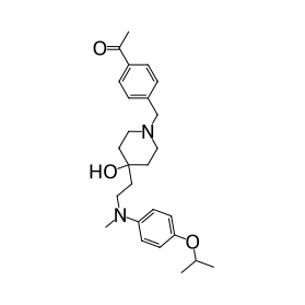 CC(=O)c1ccc(CN2CCC(O)(CCN(C)c3ccc(OC(C)C)cc3)CC2)cc1